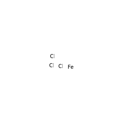 [C].[C].[C].[Fe]